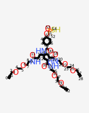 C#CCOCCOCCNC(=O)CCC(CCC(=O)NCCOCCOCC#C)(CCC(=O)NCCOCCOCC#C)NC(=O)[C@H]1CC[C@H](OP(C)(=O)S)CC1